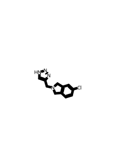 Clc1ccc2c(c1)CN(Cc1c[nH]nn1)C2